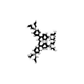 C=CCN(CC=C)c1ccc(C(=C/C=C/C(c2ccc(N(CC=C)CC=C)cc2)c2ccc(N(CC=C)CC=C)cc2)c2ccc(N(CC=C)CC=C)cc2)cc1